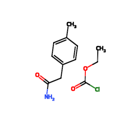 CCOC(=O)Cl.Cc1ccc(CC(N)=O)cc1